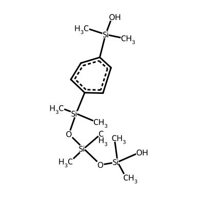 C[Si](C)(O)O[Si](C)(C)O[Si](C)(C)c1ccc([Si](C)(C)O)cc1